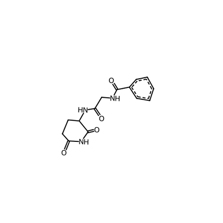 O=C1CCC(NC(=O)CNC(=O)c2ccccc2)C(=O)N1